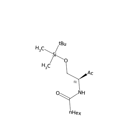 CCCCCCC(=O)N[C@@H](CO[Si](C)(C)C(C)(C)C)C(C)=O